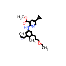 C/C=C\c1cc(Nc2ncc(C3CC3)cc2C(=O)OC)cc(CCCOCC)c1C